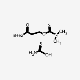 CCCCCCC(=O)CCOC(=S)N(C)C.NC(O)=S